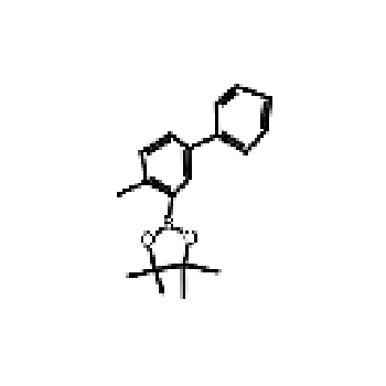 Cc1ccc(-c2ccccc2)cc1B1OC(C)(C)C(C)(C)O1